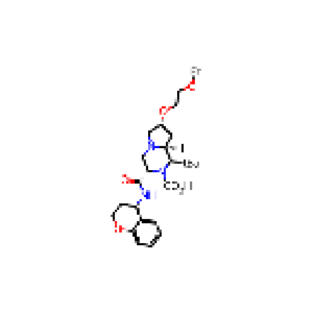 CCOCCO[C@@H]1C[C@@H]2C(C(C)(C)C)N(C(=O)O)[C@H](C(=O)N[C@@H]3CCOc4ccccc43)CN2C1